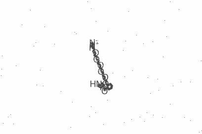 [N-]=[N+]=NCCOCCOCCOCCOCCOCCOc1ccccc1C(=O)N1CCNCC1